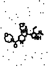 C=Cc1c(C2=NN(CC(F)(F)F)C3C=C(C(=O)N4CCCOCC4)N=CC23)c[nH]c1N=C